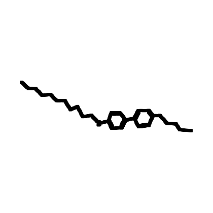 CCCCCCCCCCCSc1ccc(-c2ccc(CCCCC)cc2)cc1